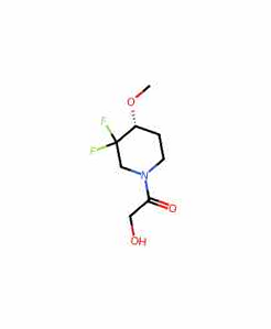 CO[C@@H]1CCN(C(=O)CO)CC1(F)F